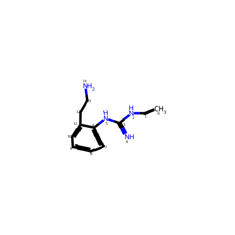 CCNC(=N)Nc1ccccc1CCN